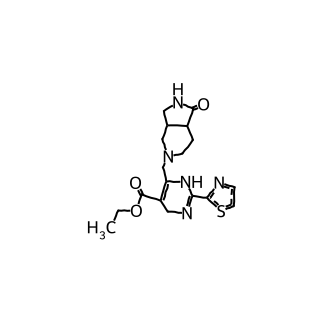 CCOC(=O)C1=C(CN2CCC3C(=O)NCC3C2)NC(c2nccs2)=NC1